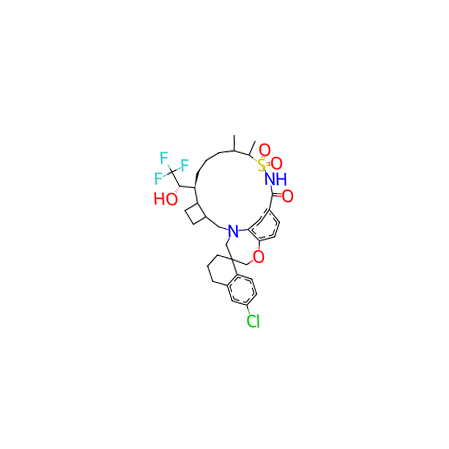 CC1CCC[C@H]([C@H](O)C(F)(F)F)C2CCC2CN2CC3(CCCc4cc(Cl)ccc43)COc3ccc(cc32)C(=O)NS(=O)(=O)C1C